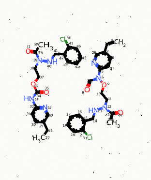 C=Cc1ccc(N(C=O)OCCN(NCc2ccccc2Cl)C(C)=O)nc1.CCc1ccc(NC(=O)OCCN(NCc2ccccc2Cl)C(C)=O)nc1